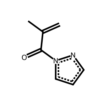 C=C(C)C(=O)n1cccn1